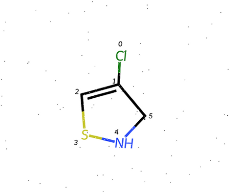 ClC1=CSN[CH]1